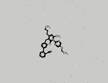 CCCCc1cc(C)n(-c2ncc(OCC)cn2)c(=O)c1Cc1ccc(-c2ccccc2C#N)cc1